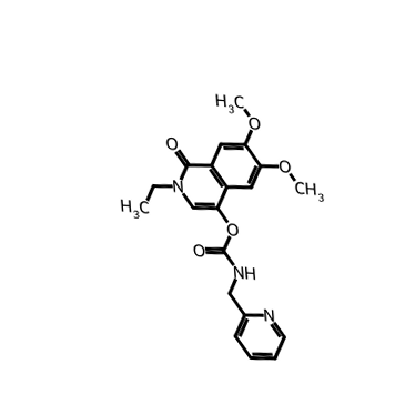 CCn1cc(OC(=O)NCc2ccccn2)c2cc(OC)c(OC)cc2c1=O